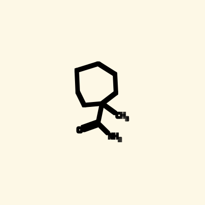 CC1(C(N)=O)CCCCCC1